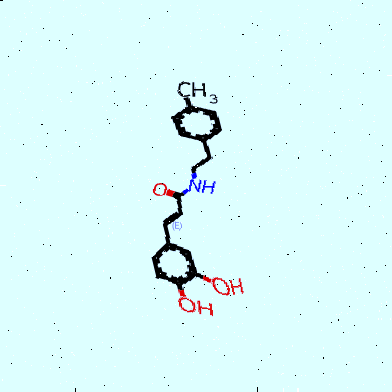 Cc1ccc(CCNC(=O)/C=C/c2ccc(O)c(O)c2)cc1